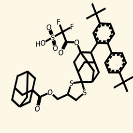 CC(C)(C)c1ccc(-c2ccc(C(C)(C)C)cc2C2C3CC4CC2(OC(=O)C(F)(F)S(=O)(=O)O)CC(C3)C42SCC(COC(=O)C34CC5CC(CC(C5)C3)C4)S2)cc1